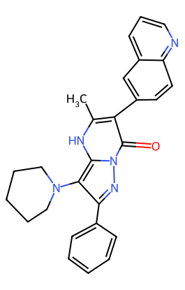 Cc1[nH]c2c(N3CCCCC3)c(-c3ccccc3)nn2c(=O)c1-c1ccc2ncccc2c1